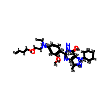 CCCCOCCN(CC)c1ccc(-c2nc3c(C)nn(C4CCCCC4)c3c(=O)[nH]2)c(OC)c1